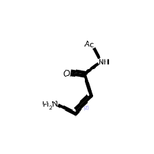 CC(=O)NC(=O)/C=C\N